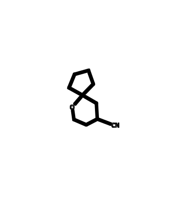 N#CC1CCOC2(CCCC2)C1